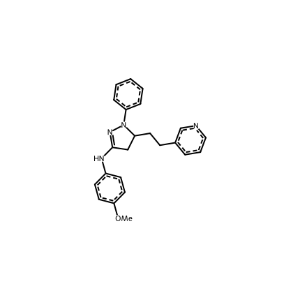 COc1ccc(NC2=NN(c3ccccc3)C(CCc3cccnc3)C2)cc1